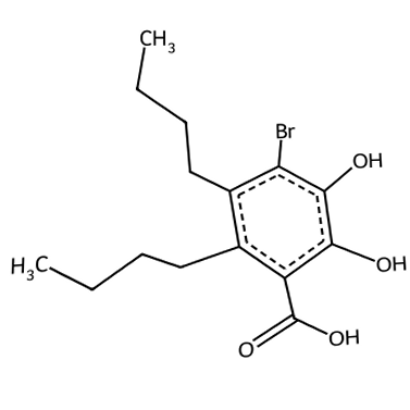 CCCCc1c(Br)c(O)c(O)c(C(=O)O)c1CCCC